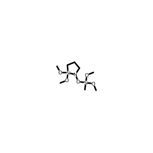 CO[Si](C)(OC)ON1CCC[Si]1(OC)OC